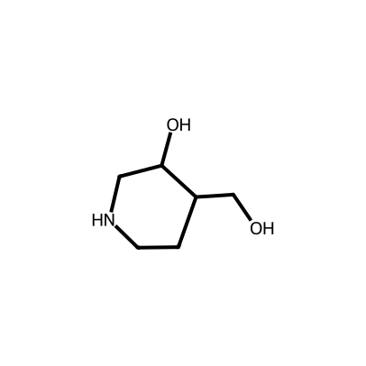 OCC1CCNCC1O